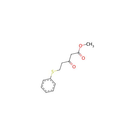 COC(=O)CC(=O)CCSc1ccccc1